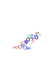 O=C(Nc1cc2cn(CC(=O)[N+]3(C4CCNCC4)CCC(O)CC3)nc2cc1Cl)c1cccc(C(F)(F)F)n1